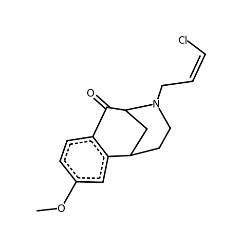 COc1ccc2c(c1)C1CCN(C/C=C\Cl)C(C1)C2=O